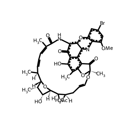 COc1cc(Br)cc2oc3c4c(=O)c5c(O)c(C)c6c(c5c-3nc12)C(=O)[C@@](C)(O/C=C/C[C@@H](C)[C@@H](OC(C)=O)[C@@H]1O[C@H]([C@@H](C)[C@H]1O)[C@@H](C)/C=C/C=C(/C)C(=O)N4)O6